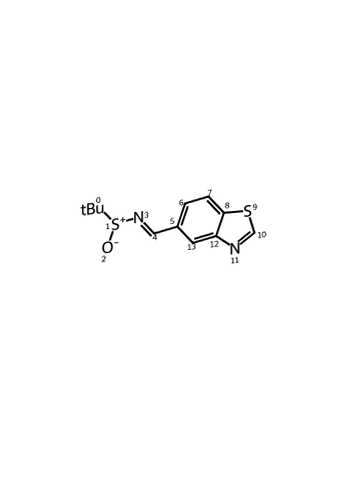 CC(C)(C)[S+]([O-])N=Cc1ccc2scnc2c1